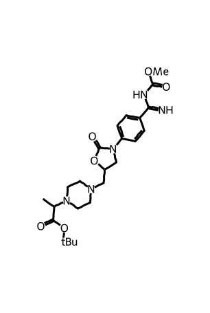 COC(=O)NC(=N)c1ccc(N2CC(CN3CCN(C(C)C(=O)OC(C)(C)C)CC3)OC2=O)cc1